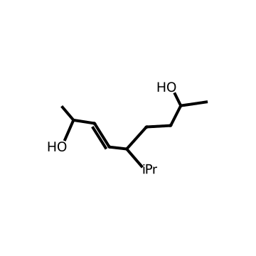 CC(O)/C=C/C(CCC(C)O)C(C)C